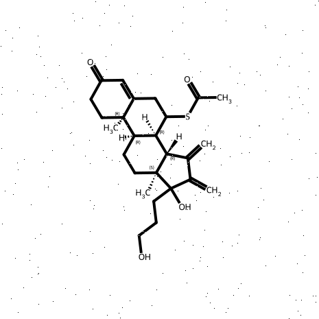 C=C1C(=C)C(O)(CCCO)[C@@]2(C)CC[C@@H]3[C@@H](C(SC(C)=O)CC4=CC(=O)CC[C@@]43C)[C@H]12